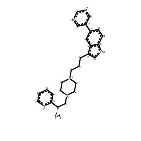 C[C@@H](CN1CCN(CCCc2coc3ccc(-c4cncnc4)cc23)CC1)c1ccccn1